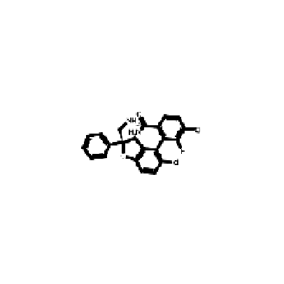 NC[C@@]1(c2ccccc2)Cc2c(ccc(Cl)c2-c2c(C(N)=O)ccc(Cl)c2F)O1